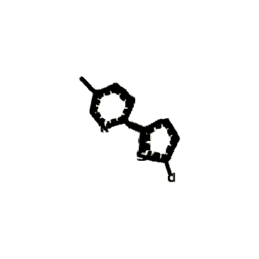 Cc1ccc(-c2ccc(Cl)s2)nc1